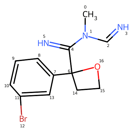 CN(C=N)C(=N)C1(c2cccc(Br)c2)CCO1